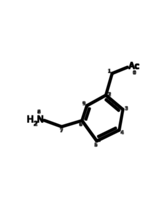 CC(=O)Cc1cc[c]c(CN)c1